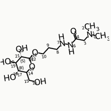 CN(C)CC(=O)NNCCCO[C@H]1OC(CO)[C@H](O)C(O)[C@@H]1O